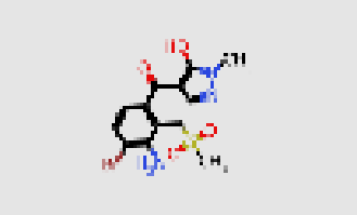 Cn1ncc(C(=O)c2ccc(Br)c(N)c2CS(C)(=O)=O)c1O